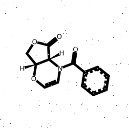 O=C1OC[C@H]2OC=CN(C(=O)c3ccccc3)[C@@H]12